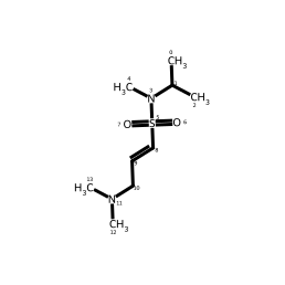 CC(C)N(C)S(=O)(=O)/C=C/CN(C)C